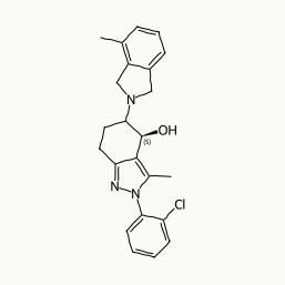 Cc1cccc2c1CN(C1CCc3nn(-c4ccccc4Cl)c(C)c3[C@@H]1O)C2